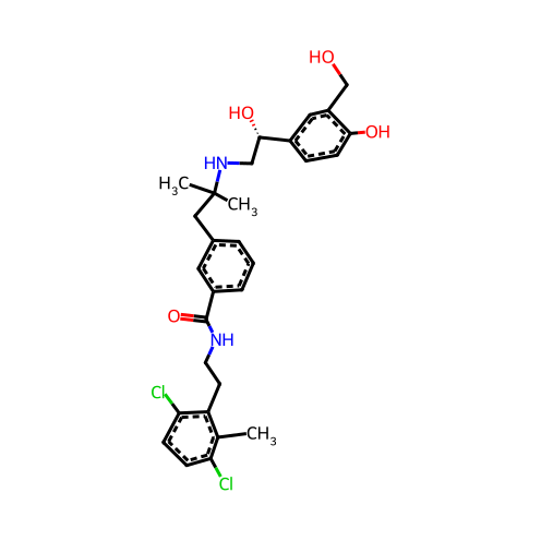 Cc1c(Cl)ccc(Cl)c1CCNC(=O)c1cccc(CC(C)(C)NC[C@H](O)c2ccc(O)c(CO)c2)c1